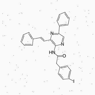 O=C(Cc1ccc(I)cc1)Nc1ncc(-c2ccccc2)nc1/C=C/c1ccccc1